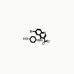 O=[N+]([O-])c1cnc2ccc(Br)cc2c1N[C@H]1CC[C@H](O)CC1